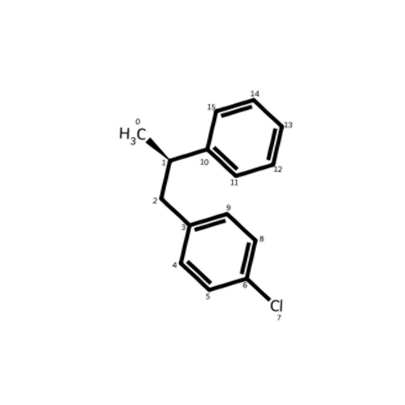 C[C@H](Cc1ccc(Cl)cc1)c1ccccc1